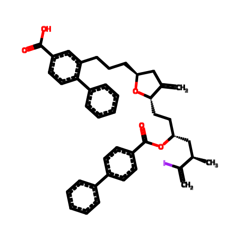 C=C(I)[C@H](C)C[C@@H](CC[C@@H]1O[C@@H](CCCc2cc(C(=O)O)ccc2-c2ccccc2)CC1=C)OC(=O)c1ccc(-c2ccccc2)cc1